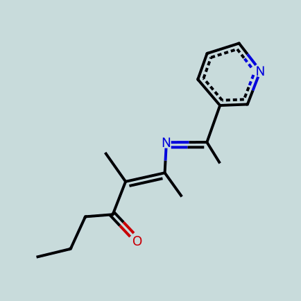 CCCC(=O)/C(C)=C(C)/N=C(\C)c1cccnc1